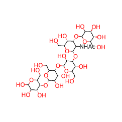 CC(=O)NC1[C@H](O[C@@H]2C(O)[C@H](O[C@H]3C(CO)O[C@@H](O[C@@H]4C(CO)OC(O)C(O)[C@H]4O)C(O)[C@H]3O)OC(CO)[C@H]2O)OC(CO)[C@H](O)[C@@H]1O[C@@H]1OC(CO)[C@H](O)[C@H](O)C1O